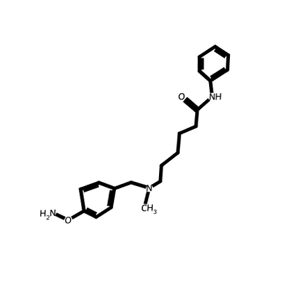 CN(CCCCCC(=O)Nc1ccccc1)Cc1ccc(ON)cc1